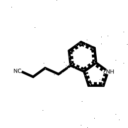 N#CCCCc1cccc2[nH]ccc12